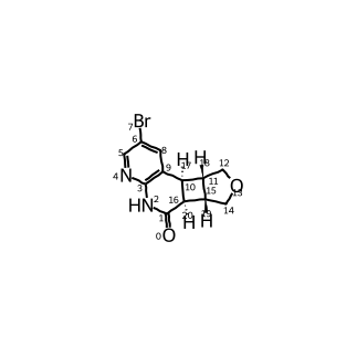 O=C1Nc2ncc(Br)cc2[C@H]2[C@@H]3COC[C@@H]3[C@@H]12